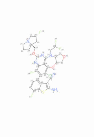 N#Cc1c(N)sc2c(F)ccc(-c3c(Cl)c4c5c(nc(OC[C@@]67CCCN6C[C@H](F)C7)nc5c3F)N(CC(F)F)C3COCC3O4)c12